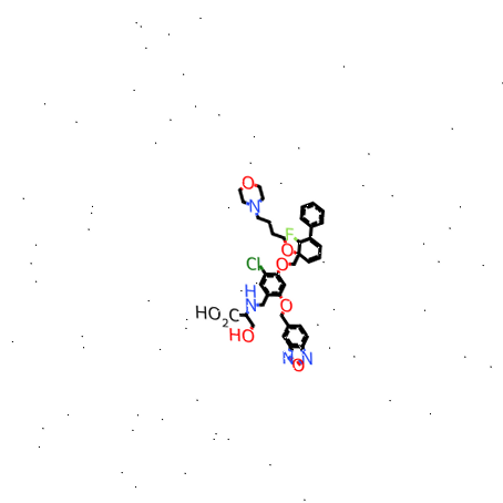 O=C(O)C(CO)NCc1cc(Cl)c(OCC2(OCCCCN3CCOCC3)C=CC=C(c3ccccc3)C2F)cc1OCc1ccc2nonc2c1